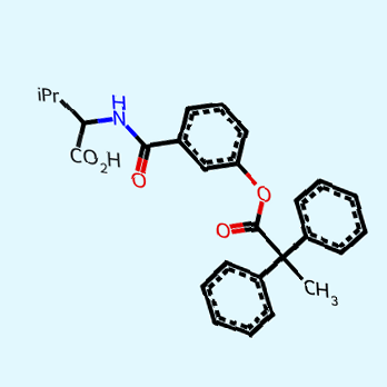 CC(C)C(NC(=O)c1cccc(OC(=O)C(C)(c2ccccc2)c2ccccc2)c1)C(=O)O